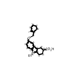 CCn1c2c(c3cc(OCc4ccccc4)ccc31)CC(C(=O)O)CC2